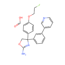 NC1=NC(c2ccc(OCCF)cc2)(c2cccc(-c3cccnc3)c2)CO1.O=CO